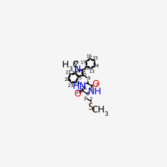 CSCC[C@H]1NC(=O)[C@@H](Cc2c(-c3ccccc3)n(C)c3ccccc23)NC1=O